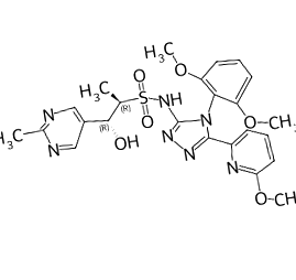 COc1cccc(-c2nnc(NS(=O)(=O)[C@H](C)[C@H](O)c3cnc(C)nc3)n2-c2c(OC)cccc2OC)n1